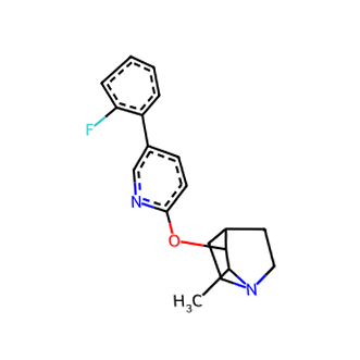 CC1C(Oc2ccc(-c3ccccc3F)cn2)C2CCN1CC2